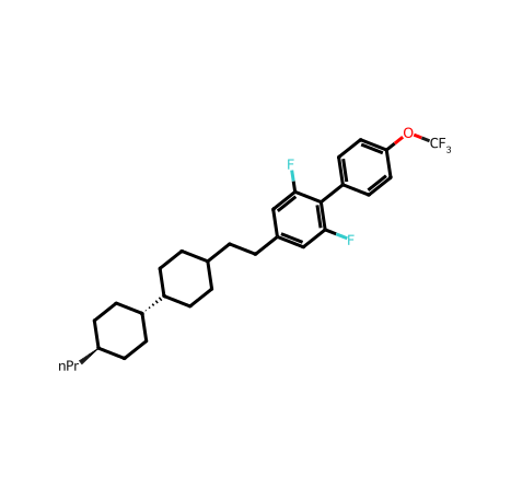 CCC[C@H]1CC[C@H](C2CCC(CCc3cc(F)c(-c4ccc(OC(F)(F)F)cc4)c(F)c3)CC2)CC1